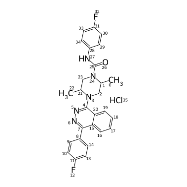 CC1CN(c2nnc(-c3ccc(F)cc3)c3ccccc23)C(C)CN1C(=O)Nc1ccc(F)cc1.Cl